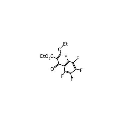 CCOC=C(C(=O)OCC)C(=O)c1c(F)c(F)c(F)c(F)c1F